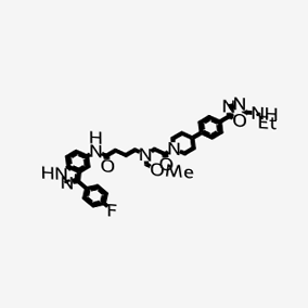 CCNc1nnc(-c2ccc(C3CCN(C(=O)CN(CCCC(=O)Nc4ccc5[nH]nc(-c6ccc(F)cc6)c5c4)COC)CC3)cc2)o1